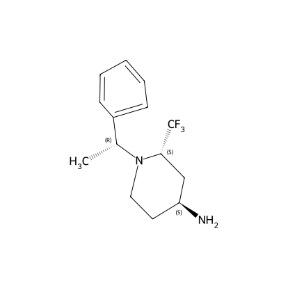 C[C@H](c1ccccc1)N1CC[C@H](N)C[C@H]1C(F)(F)F